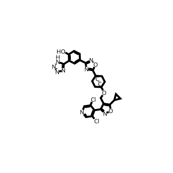 Oc1ccc(-c2noc(C34CCC(OCc5c(-c6c(Cl)cncc6Cl)noc5C5CC5)(CC3)CC4)n2)cc1-c1nnn[nH]1